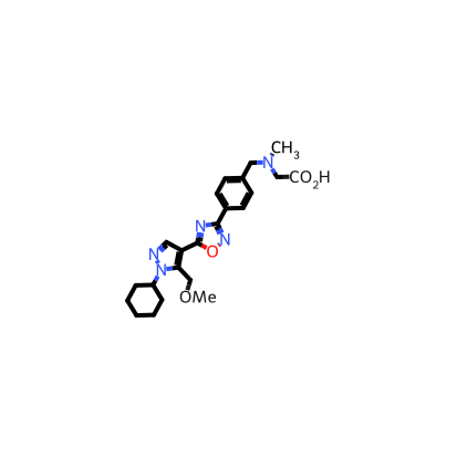 COCc1c(-c2nc(-c3ccc(CN(C)CC(=O)O)cc3)no2)cnn1C1CCCCC1